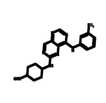 Cc1cccc(Nc2ncnc3cnc(NC4CCN(C=O)CC4)nc23)c1